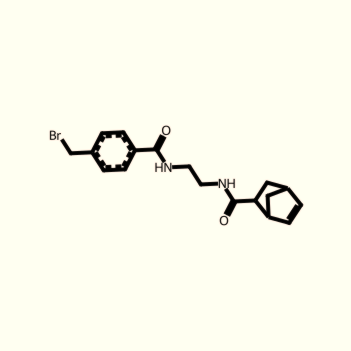 O=C(NCCNC(=O)C1CC2C=CC1C2)c1ccc(CBr)cc1